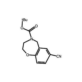 CC(C)(C)OC(=O)N1CCOc2ccc(C#N)cc2C1